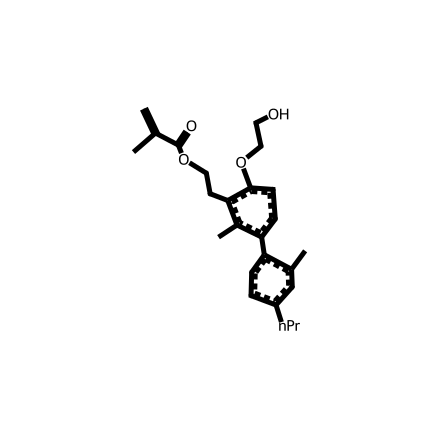 C=C(C)C(=O)OCCc1c(OCCO)ccc(-c2ccc(CCC)cc2C)c1C